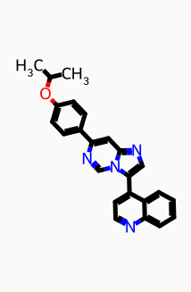 CC(C)Oc1ccc(-c2cc3ncc(-c4ccnc5ccccc45)n3cn2)cc1